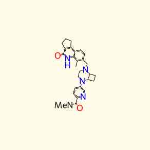 CNC(=O)c1ccc(N2CCN(Cc3ccc4c5c(c(=O)[nH]c4c3C)CCC5)C3CCC32)cn1